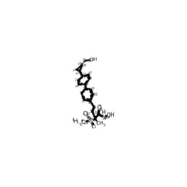 CC(CCc1ccc(-c2ccc(C3C[C@H]3CO)cc2)cc1)(C(=O)NO)S(C)(=O)=O